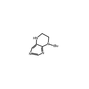 CC(C)(C)N1CCNc2cncnc21